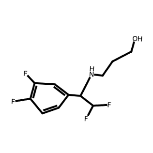 OCCCNC(c1ccc(F)c(F)c1)C(F)F